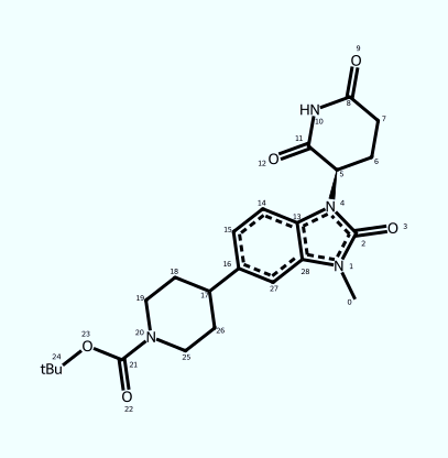 Cn1c(=O)n([C@@H]2CCC(=O)NC2=O)c2ccc(C3CCN(C(=O)OC(C)(C)C)CC3)cc21